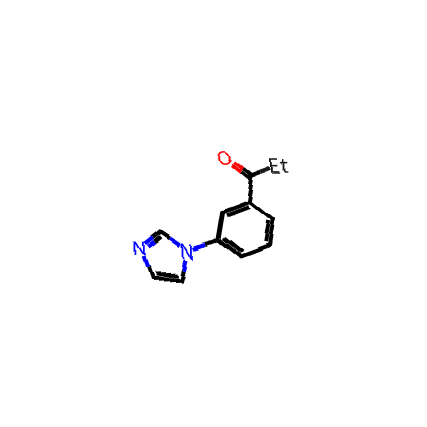 CCC(=O)c1cccc(-n2ccnc2)c1